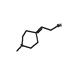 CN1CCC(=CCS)CC1